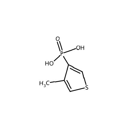 Cc1cscc1P(=O)(O)O